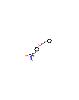 CCC(N)(CO)CCc1ccc(OCCCCc2ccccc2)cc1